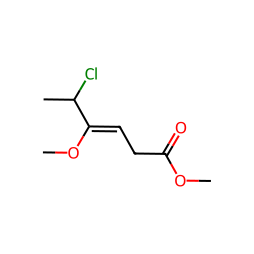 COC(=O)CC=C(OC)C(C)Cl